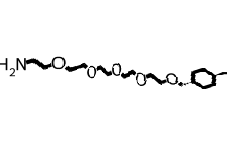 C[C@H]1CC[C@H](COCCOCCOCCOCCOCCN)CC1